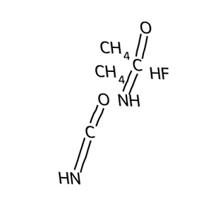 C.C.F.N=C=O.N=C=O